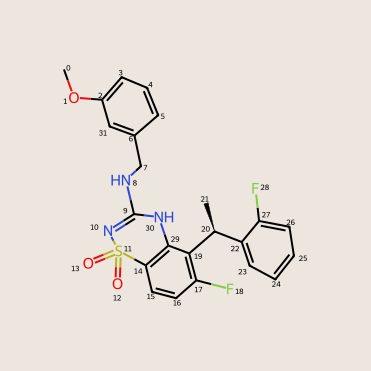 COc1cccc(CNC2=NS(=O)(=O)c3ccc(F)c([C@@H](C)c4ccccc4F)c3N2)c1